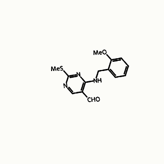 COc1ccccc1CNc1nc(SC)ncc1C=O